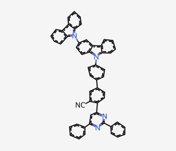 N#Cc1cc(-c2ccc(-n3c4ccccc4c4cc(-n5c6ccccc6c6ccccc65)ccc43)cc2)ccc1-c1cc(-c2ccccc2)nc(-c2ccccc2)n1